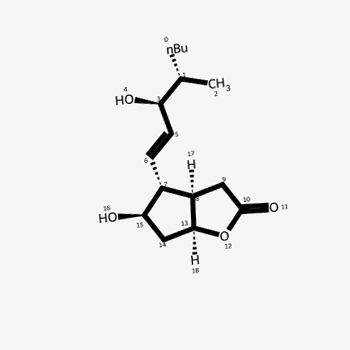 CCCC[C@H](C)[C@H](O)C=C[C@@H]1[C@H]2CC(=O)O[C@H]2C[C@H]1O